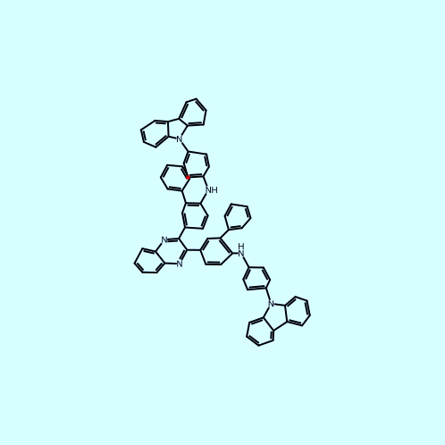 c1ccc(-c2cc(-c3nc4ccccc4nc3-c3ccc(Nc4ccc(-n5c6ccccc6c6ccccc65)cc4)c(-c4ccccc4)c3)ccc2Nc2ccc(-n3c4ccccc4c4ccccc43)cc2)cc1